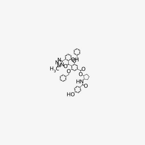 Cn1nnc(-c2cccc(O)c2C(=O)c2c(OCc3ccccc3)cc(C(=O)OC3CCCC3NC(=O)c3ccc(O)cc3)cc2OCc2ccccc2)n1